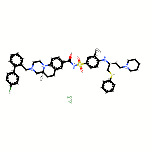 Cl.Cl.O=C(NS(=O)(=O)c1ccc(N[C@@H](CCN2CCCCC2)CSc2ccccc2)c([N+](=O)[O-])c1)c1ccc2c(c1)CC[C@H]1CN(Cc3ccccc3-c3ccc(Cl)cc3)CCN21